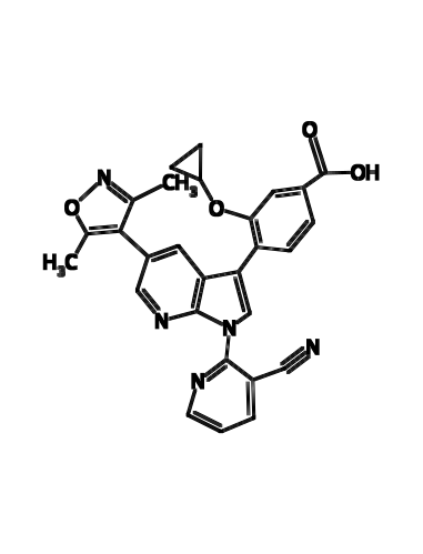 Cc1noc(C)c1-c1cnc2c(c1)c(-c1ccc(C(=O)O)cc1OC1CC1)cn2-c1ncccc1C#N